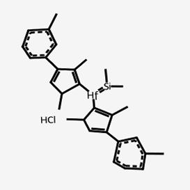 CC1=[C]([Hf]([C]2=C(C)C(c3cccc(C)c3)=CC2C)=[Si](C)C)C(C)C=C1c1cccc(C)c1.Cl